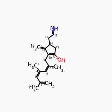 C=C(C)/C=C(C)\C=C(\C)CC1=C(O)CC(CC=N)C1=C